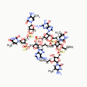 CC[C@H]1O[C@@H](n2cc(C)c(N)nc2=O)C[C@H]1OP(=O)(S)OC[C@H]1O[C@@H](n2cc(C)c(=O)[nH]c2=O)C[C@H]1OP(=O)(S)OC[C@H]1O[C@@H](n2cnc3c(N)ncnc32)C(OCCOC)[C@H]1OP(=O)(O)OC[C@H]1O[C@@H](n2cnc3c(=O)[nH]c(N)nc32)C(OCCOC)[C@H]1OP(=O)(S)OC[C@H]1O[C@@H](n2cc(C)c(=O)[nH]c2=O)C(OCCOC)[C@H]1OP(=O)(S)OC[C@H]1O[C@@H](n2cc(C)c(N)nc2=O)C(OCCOC)[C@H]1O